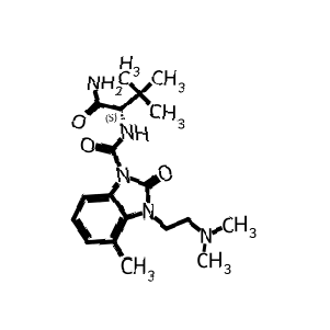 Cc1cccc2c1n(CCN(C)C)c(=O)n2C(=O)N[C@H](C(N)=O)C(C)(C)C